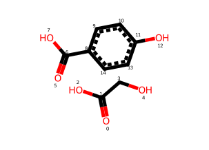 O=C(O)CO.O=C(O)c1ccc(O)cc1